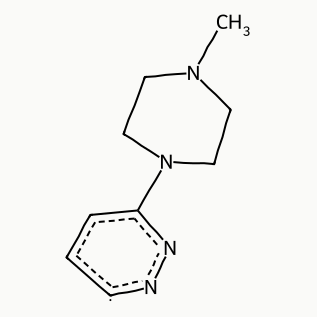 CN1CCN(c2cc[c]nn2)CC1